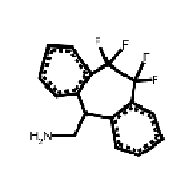 NCC1c2ccccc2C(F)(F)C(F)(F)c2ccccc21